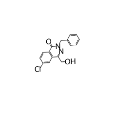 O=c1c2ccc(Cl)cc2c(CO)nn1Cc1ccccc1